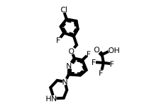 Fc1cc(Cl)ccc1COc1nc(N2CCNCC2)ccc1F.O=C(O)C(F)(F)F